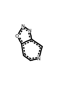 c1cc2onnc2cn1